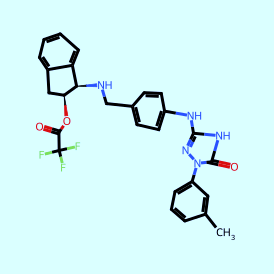 Cc1cccc(-n2nc(Nc3ccc(CN[C@@H]4c5ccccc5C[C@@H]4OC(=O)C(F)(F)F)cc3)[nH]c2=O)c1